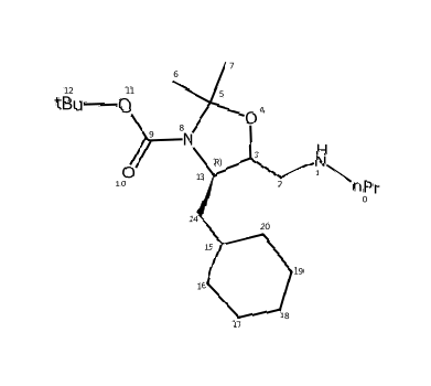 CCCNCC1OC(C)(C)N(C(=O)OC(C)(C)C)[C@@H]1CC1CCCCC1